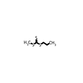 CCCSC(=S)SC